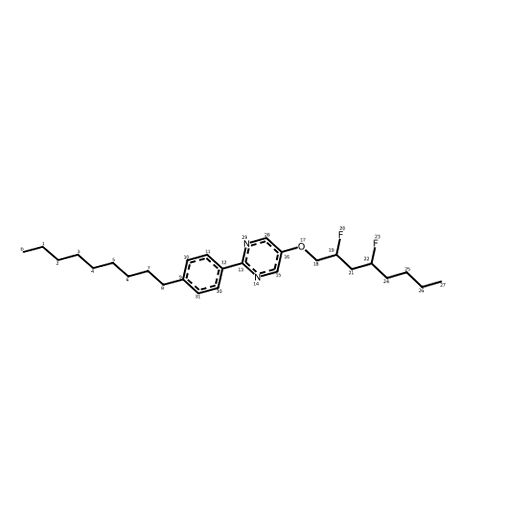 CCCCCCCCCc1ccc(-c2ncc(OCC(F)CC(F)CCCC)cn2)cc1